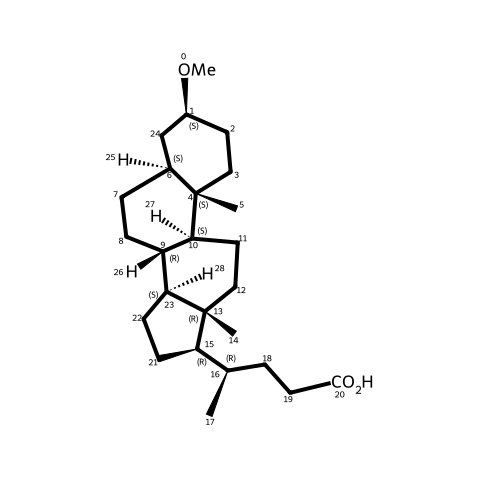 CO[C@H]1CC[C@@]2(C)[C@@H](CC[C@@H]3[C@@H]2CC[C@]2(C)[C@@H]([C@H](C)CCC(=O)O)CC[C@@H]32)C1